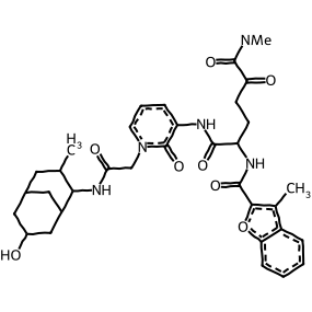 CNC(=O)C(=O)CCC(NC(=O)c1oc2ccccc2c1C)C(=O)Nc1cccn(CC(=O)NC2C(C)CC3CC(O)CC2C3)c1=O